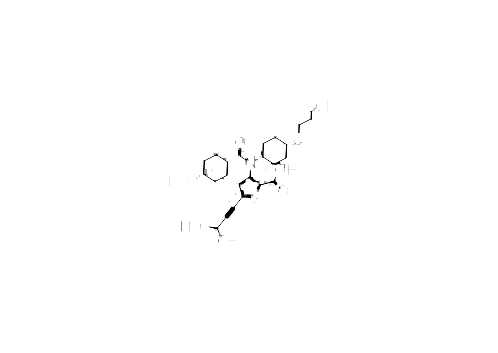 CC(C)C#Cc1cc(N(C(=O)[C@H]2CC[C@@H](C)CC2)[C@H]2CC[C@H](OCCO)CC2)c(C(=O)O)s1